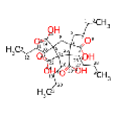 CCCCC1(C(=O)O)CC(CCCC)(C(=O)O)C(CCCC)(C(=O)O)C1(CCCC)C(=O)O